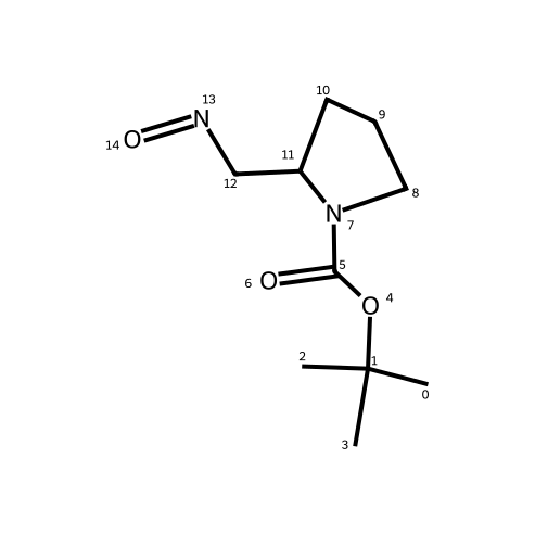 CC(C)(C)OC(=O)N1CCCC1CN=O